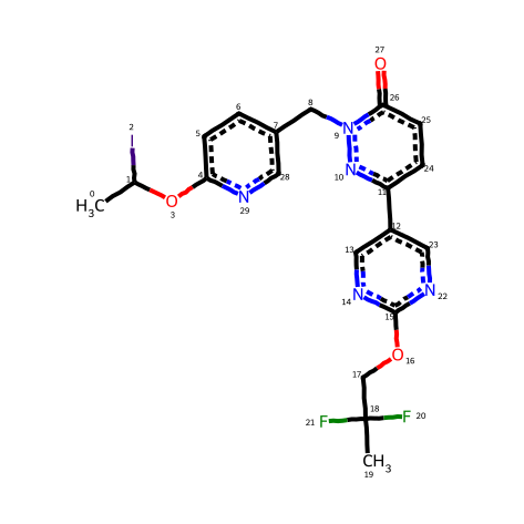 CC(I)Oc1ccc(Cn2nc(-c3cnc(OCC(C)(F)F)nc3)ccc2=O)cn1